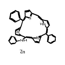 C1=Cc2nc1cc1ccc([nH]1)c(-c1ccccc1)c1nc(c(Nc3ccccc3)c3ccc([nH]3)c2-c2ccccc2)C=C1.[Zn]